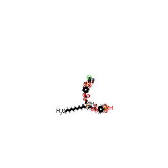 CCCCCCCCCCCC[P+](C)(CCOC(=O)Oc1ccc(S(=O)(=O)O)cc1)CCOC(=O)Oc1ccc(S(=O)(=O)O)cc1.[Cl-].[Na].[Na]